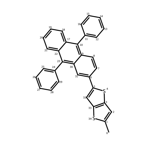 Cc1cc2sc(-c3ccc4c(-c5ccccc5)c5ccccc5c(-c5ccccc5)c4c3)cc2s1